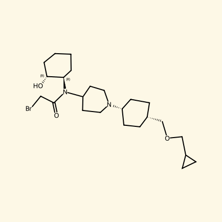 O=C(CBr)N(C1CCN([C@H]2CC[C@@H](COCC3CC3)CC2)CC1)[C@@H]1CCCC[C@H]1O